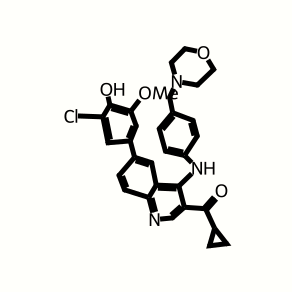 COc1cc(-c2ccc3ncc(C(=O)C4CC4)c(Nc4ccc(CN5CCOCC5)cc4)c3c2)cc(Cl)c1O